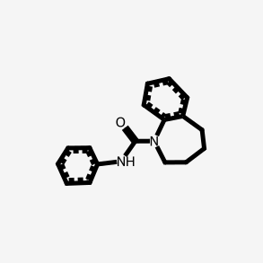 O=C(Nc1ccccc1)N1CCCCc2ccccc21